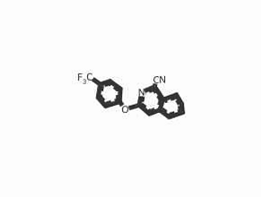 N#Cc1nc(Oc2ccc(C(F)(F)F)cc2)cc2ccccc12